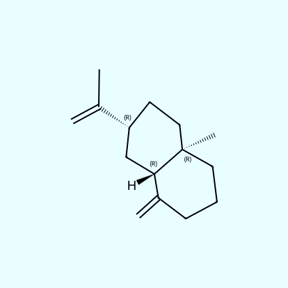 C=C(C)[C@@H]1CC[C@@]2(C)CCCC(=C)[C@@H]2C1